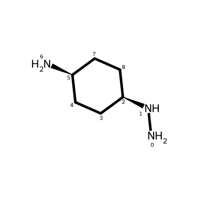 NN[C@H]1CC[C@@H](N)CC1